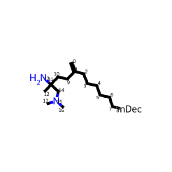 C=C(CCCCCCCCCCCCCCCC)CCC(C)(N)CN(C)C